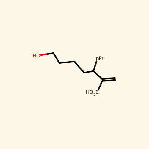 C=C(C(=O)O)C(CCC)CCCCO